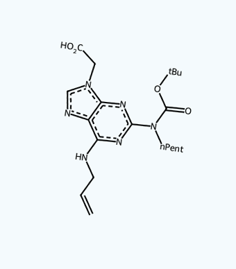 C=CCNc1nc(N(CCCCC)C(=O)OC(C)(C)C)nc2c1ncn2CC(=O)O